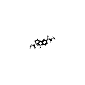 COC(=O)Nc1ccc2c(c1)C1CCN(C(=O)OC)C1N2C